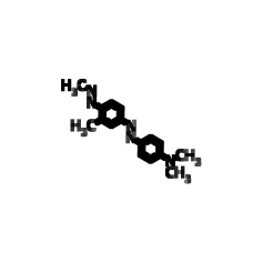 CN=Nc1ccc(N=Nc2ccc(N(C)C)cc2)cc1C